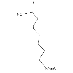 CCCCCCCCCCOC(C)O